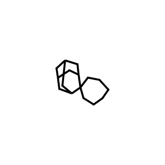 C1CCCC2(CC1)C1CC3CC(C1)CC2C3